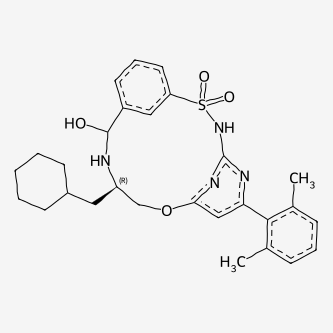 Cc1cccc(C)c1-c1cc2nc(n1)NS(=O)(=O)c1cccc(c1)C(O)N[C@H](CC1CCCCC1)CO2